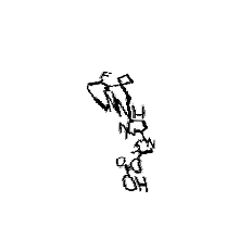 O=C(O)Oc1cnc(-c2ccc(NCC3(c4ncccc4F)CCC3)nn2)s1